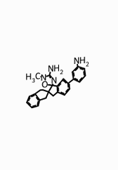 CN1OC2(N=C1N)c1cc(-c3cccc(N)c3)ccc1CC21CCc2ccccc2C1